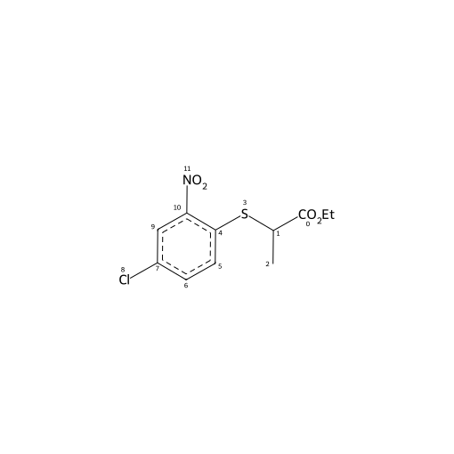 CCOC(=O)C(C)Sc1ccc(Cl)cc1[N+](=O)[O-]